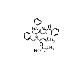 C/C=C/CN(Cc1ccccc1)C(=O)c1cnc(Nc2ccccc2)nc1Nc1ccccc1.COC(=O)O